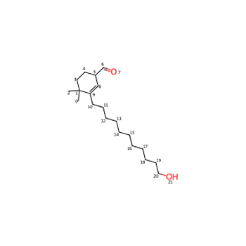 CC1(C)CCC(C=O)C=C1CCCCCCCCCCCO